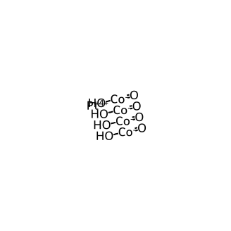 [O]=[Co-][OH].[O]=[Co-][OH].[O]=[Co-][OH].[O]=[Co-][OH].[Pt+4]